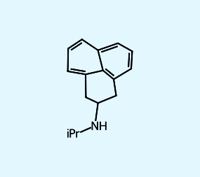 CC(C)NC1Cc2cccc3cccc(c23)C1